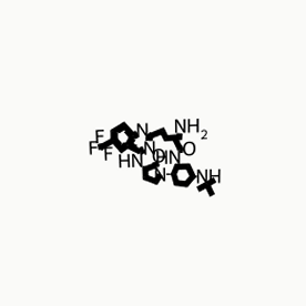 CC(=O)N[C@@H]1C[C@H](NC(C)(C)C)CC[C@@H]1N1CC[C@H](Nc2nc(CCCN)nc3ccc(C(F)(F)F)cc23)C1=O